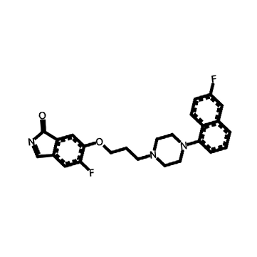 O=C1N=Cc2cc(F)c(OCCCN3CCN(c4cccc5cc(F)ccc45)CC3)cc21